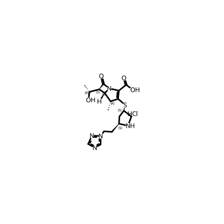 C[C@@H](O)[C@H]1C(=O)N2C(C(=O)O)=C(S[C@@H]3CN[C@@H](CCn4cncn4)C3)[C@H](C)[C@H]12.Cl